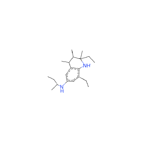 CCc1cc(NC(C)CC)cc2c1NC(C)(CC)C(C)C2C